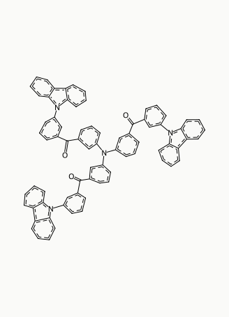 O=C(c1cccc(N(c2cccc(C(=O)c3cccc(-n4c5ccccc5c5ccccc54)c3)c2)c2cccc(C(=O)c3cccc(-n4c5ccccc5c5ccccc54)c3)c2)c1)c1cccc(-n2c3ccccc3c3ccccc32)c1